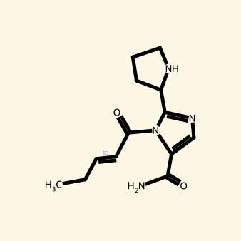 CC/C=C/C(=O)n1c(C(N)=O)cnc1C1CCCN1